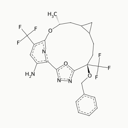 C[C@@H]1CC2CC2CC[C@](OCc2ccccc2)(C(F)(F)F)c2nnc(o2)-c2nc(c(C(F)(F)F)cc2N)O1